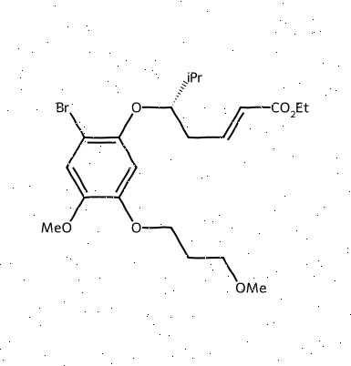 CCOC(=O)/C=C/C[C@H](Oc1cc(OCCCOC)c(OC)cc1Br)C(C)C